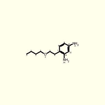 CCCCOCCc1ccc(N)cc1N